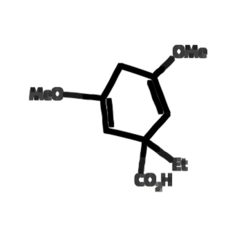 CCC1(C(=O)O)C=C(OC)CC(OC)=C1